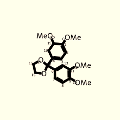 COC1=CC=C(C2(c3ccc(OC)c(OC)c3)OCCO2)CC1OC